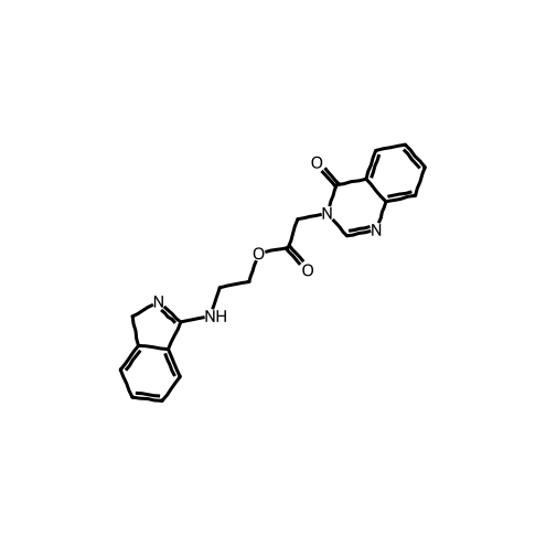 O=C(Cn1cnc2ccccc2c1=O)OCCNC1=NCc2ccccc21